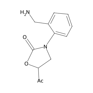 CC(=O)C1CN(c2ccccc2CN)C(=O)O1